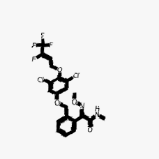 CNC(=O)/C(=N/OC)c1ccccc1COc1cc(Cl)c(OCC=C(F)C(F)(F)F)c(Cl)c1